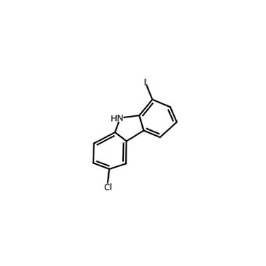 Clc1ccc2[nH]c3c(I)cccc3c2c1